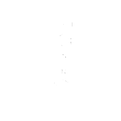 Cc1cc(O)ccc1N1CCN(C(=O)OC(C)(C)C)CC1